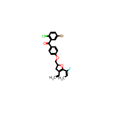 C=CC1=C(/C(F)=C\C)OC(COc2ccc(C(=O)c3cc(Br)ccc3Cl)cc2)C1